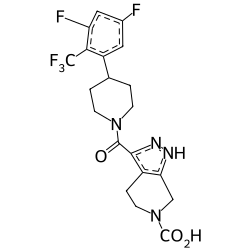 O=C(O)N1CCc2c(C(=O)N3CCC(c4cc(F)cc(F)c4C(F)(F)F)CC3)n[nH]c2C1